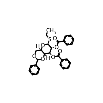 CCS[C@@H]1O[C@@H]2COC(c3ccccc3)O[C@H]2[C@H](OC(=O)c2ccccc2)[C@H]1OC(=O)c1ccccc1